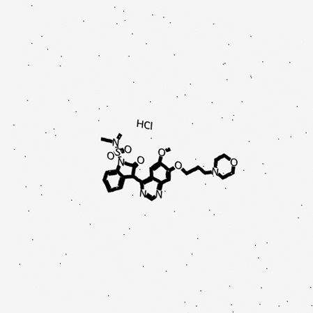 COc1cc2c(C3C(=O)N(S(=O)(=O)N(C)C)c4ccccc43)ncnc2cc1OCCCN1CCOCC1.Cl